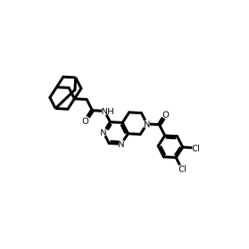 O=C(CC12CC3CC(CC(C3)C1)C2)Nc1ncnc2c1CCN(C(=O)c1ccc(Cl)c(Cl)c1)C2